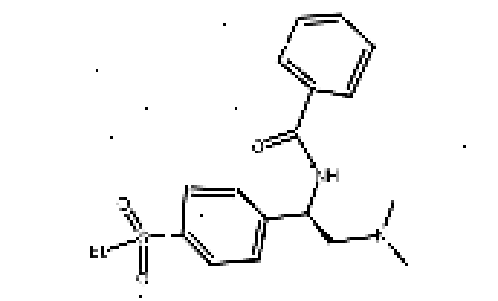 CCS(=O)(=O)c1ccc([C@H](CN(C)C)NC(=O)c2ccccc2)cc1